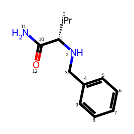 CC(C)[C@H](NCc1ccccc1)C(N)=O